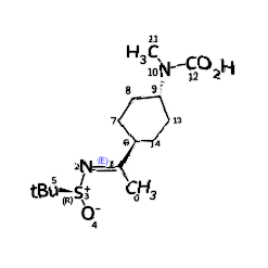 C/C(=N\[S@@+]([O-])C(C)(C)C)[C@H]1CC[C@H](N(C)C(=O)O)CC1